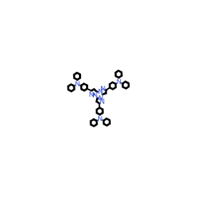 c1ccc(N(c2ccccc2)c2ccc(-c3cc4n(n3)c3cc(-c5ccc(N(c6ccccc6)c6ccccc6)cc5)nn3c3cc(-c5ccc(N(c6ccccc6)c6ccccc6)cc5)nn43)cc2)cc1